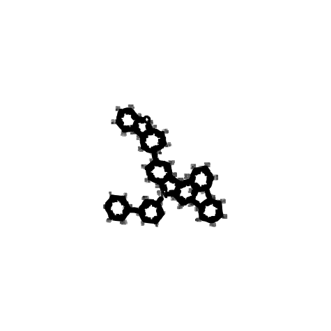 c1ccc(-c2cccc(-n3c4ccc(-c5ccc6oc7ccccc7c6c5)cc4c4c5cccc6c5c(cc43)-c3ccccc3-6)c2)cc1